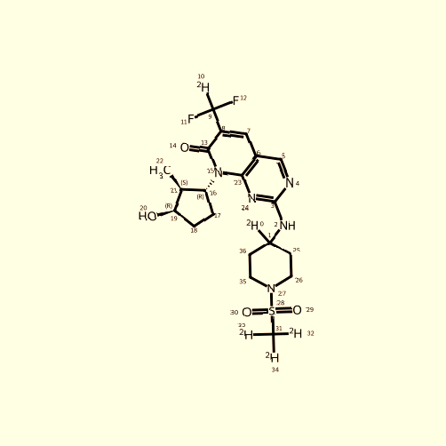 [2H]C1(Nc2ncc3cc(C([2H])(F)F)c(=O)n([C@@H]4CC[C@@H](O)[C@H]4C)c3n2)CCN(S(=O)(=O)C([2H])([2H])[2H])CC1